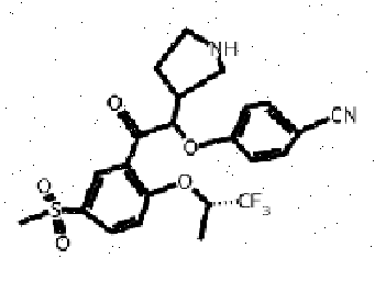 C[C@H](Oc1ccc(S(C)(=O)=O)cc1C(=O)C(Oc1ccc(C#N)cc1)C1CCNC1)C(F)(F)F